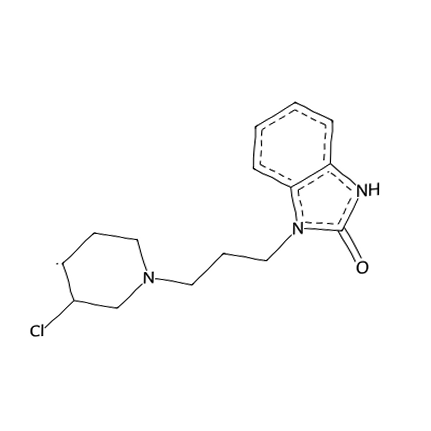 O=c1[nH]c2ccccc2n1CCCN1CC[CH]C(Cl)C1